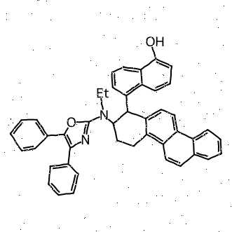 CCN(c1nc(-c2ccccc2)c(-c2ccccc2)o1)C1CCc2c(ccc3c2ccc2ccccc23)C1c1cccc2c(O)cccc12